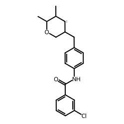 CC1[C]C(Cc2ccc(NC(=O)c3cccc(Cl)c3)cc2)COC1C